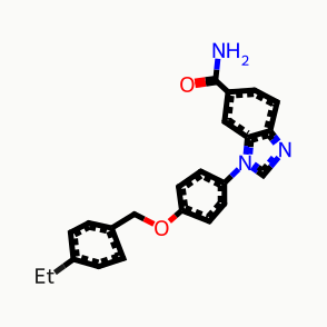 CCc1ccc(COc2ccc(-n3cnc4ccc(C(N)=O)cc43)cc2)cc1